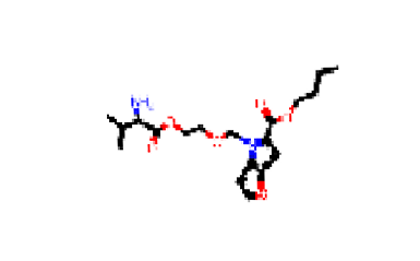 CCCCOC(=O)c1cc2occc2n1COCCOC(=O)C(N)C(C)C